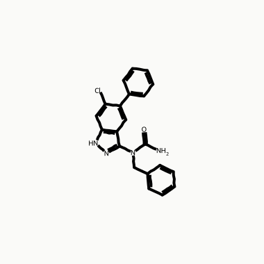 NC(=O)N(Cc1ccccc1)c1n[nH]c2cc(Cl)c(-c3ccccc3)cc12